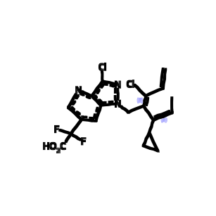 C=C/C(Cl)=C(Cn1nc(Cl)c2ncc(C(F)(F)C(=O)O)cc21)\C(=C/C)C1CC1